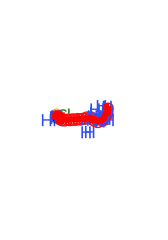 Cc1sc2c(c1C)C(c1ccc(Cl)cc1)=N[C@@H](CC(=O)Nc1cccc(OCCOCCOCCOCCOCCOCCOCCOCCOCCNC(=O)CCNC(=O)c3cc(NC(=O)CCNC(=O)c4cc(NC(=O)c5nc(NC(=O)CCNC(=O)c6cc(NC(=O)c7cccn7C)cn6C)cn5C)cn4C)cn3C)c1)c1nnc(C)n1-2